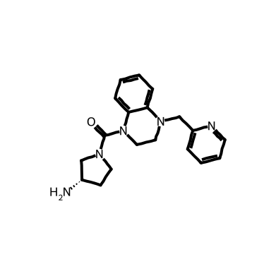 N[C@H]1CCN(C(=O)N2CCN(Cc3ccccn3)c3ccccc32)C1